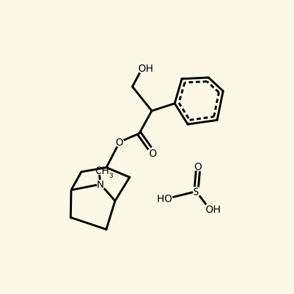 CN1C2CCC1CC(OC(=O)C(CO)c1ccccc1)C2.O=S(O)O